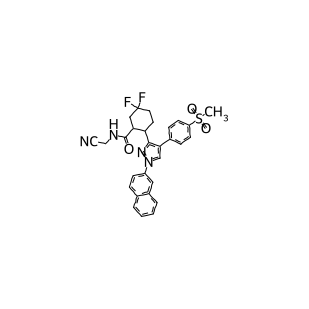 CS(=O)(=O)c1ccc(-c2cn(-c3ccc4ccccc4c3)nc2C2CCC(F)(F)CC2C(=O)NCC#N)cc1